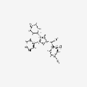 O=C(c1cc(-c2cccnc2)c(N2CCOCC2)s1)c1ccc(Cl)cc1Cl